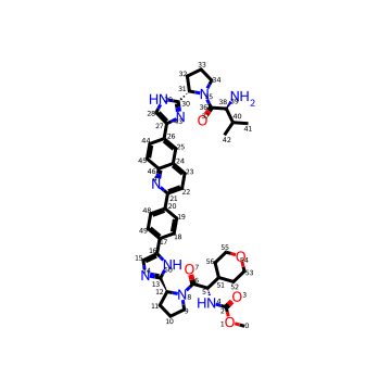 COC(=O)N[C@H](C(=O)N1CCC[C@H]1c1ncc(-c2ccc(-c3ccc4cc(-c5c[nH]c([C@@H]6CCCN6C(=O)[C@@H](N)C(C)C)n5)ccc4n3)cc2)[nH]1)C1CCOCC1